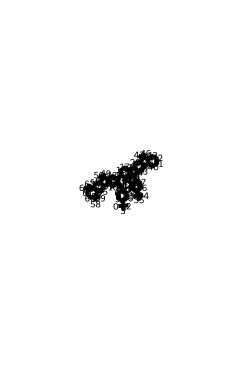 CC(C)(C)c1ccc(Nc2cc3c(cc2-c2ccc4c5cc6c(cc5n5c4c2Bc2cc(C(C)(C)C)ccc2-5)-c2ccccc2C6(C)C)C(C)(C)c2cc4c(cc2-3)C(C)(C)CCC4(C)C)cc1